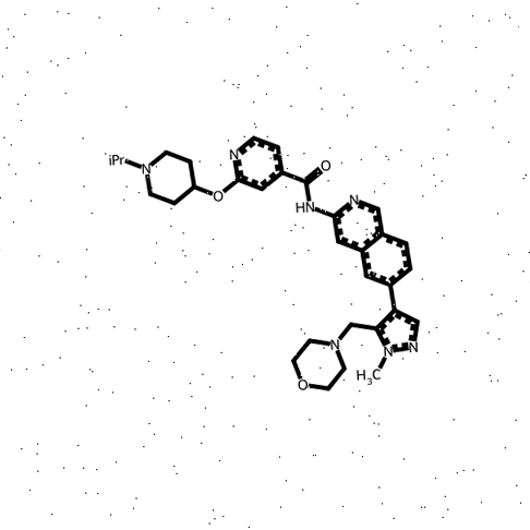 CC(C)N1CCC(Oc2cc(C(=O)Nc3cc4cc(-c5cnn(C)c5CN5CCOCC5)ccc4cn3)ccn2)CC1